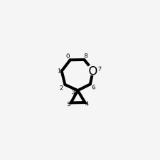 C1CCC2(CC2)COC1